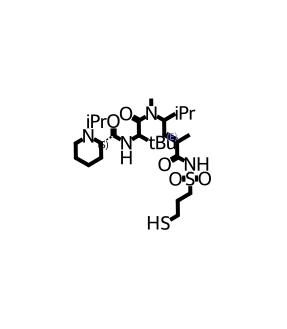 C/C(=C\C(C(C)C)N(C)C(=O)C(NC(=O)[C@@H]1CCCCN1C(C)C)C(C)(C)C)C(=O)NS(=O)(=O)CCCS